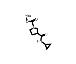 CC(C)(C)OC(=O)N1CCC(C(=O)NC2CC2)C1